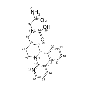 NC(=O)CN(CC1CCN(c2ncccc2-c2ccccc2)CC1)C(=O)O